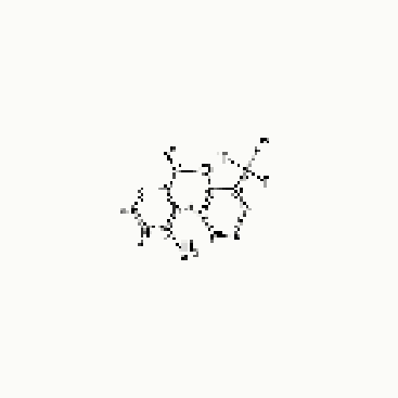 C[C@@H](Oc1ccccc1C(F)(F)F)c1ccnc(N)n1